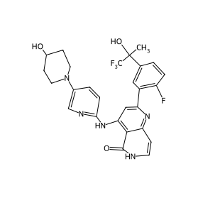 CC(O)(c1ccc(F)c(-c2cc(Nc3ccc(N4CCC(O)CC4)cn3)c3c(=O)[nH]ccc3n2)c1)C(F)(F)F